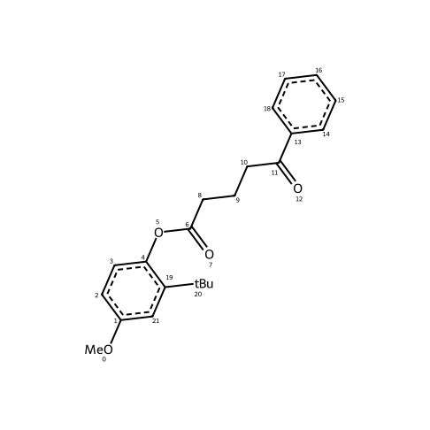 COc1ccc(OC(=O)CCCC(=O)c2ccccc2)c(C(C)(C)C)c1